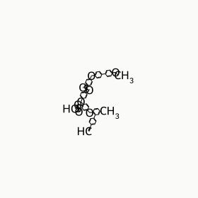 C#Cc1ccc(-c2cc(C)ccc2Oc2ccc(Oc3ccc(S(=O)(=O)c4ccc(Oc5ccc(-c6ccc(OC)cc6)cc5)cc4)cc3)c(S(=O)(=O)O)c2)cc1